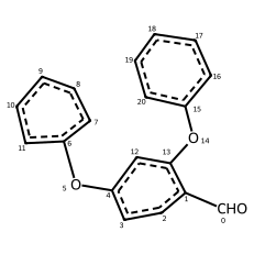 O=Cc1ccc(Oc2ccccc2)cc1Oc1ccccc1